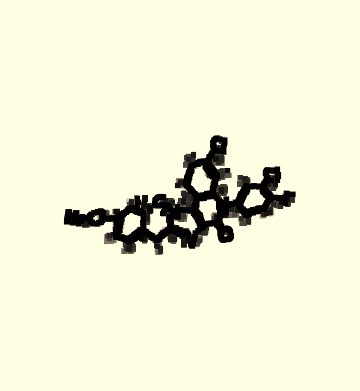 COc1ccc(Cc2nc3c(=O)n(-c4ccc(F)c(Cl)c4)c4cc(Cl)ccc4c3n2C)cc1